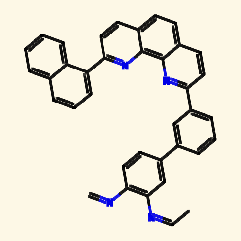 C=Nc1ccc(-c2cccc(-c3ccc4ccc5ccc(-c6cccc7ccccc67)nc5c4n3)c2)cc1/N=C\C